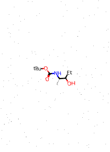 CCC(O)[C@H](C)NC(=O)OC(C)(C)C